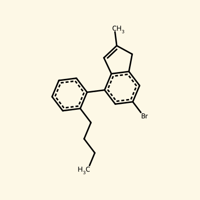 CCCCc1ccccc1-c1cc(Br)cc2c1C=C(C)C2